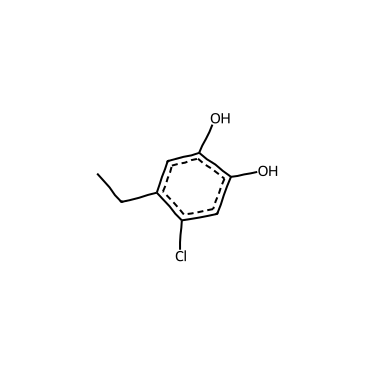 CCc1cc(O)c(O)cc1Cl